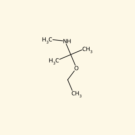 CCOC(C)(C)NC